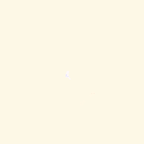 CCc1ccc(/C=N/c2ccc(S(C)(=O)=O)cc2)cc1